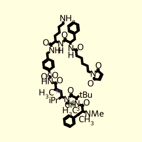 CNC(C(=O)NC(C(=O)N(C)C(/C=C(\C)C(=O)NS(=O)(=O)c1ccc(CNC(=O)C(CCCCN)NC(=O)C(Cc2ccccc2)NC(=O)CCCCCN2C(=O)C=CC2=O)cc1)C(C)C)C(C)(C)C)C(C)(C)c1ccccc1